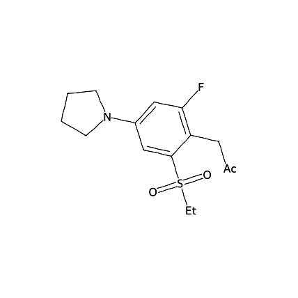 CCS(=O)(=O)c1cc(N2CCCC2)cc(F)c1CC(C)=O